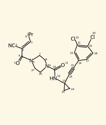 CC(C)C=C(C#N)C(=O)N1CCN(C(=O)NC2(C#Cc3ccc(Cl)c(Cl)c3)CC2)CC1